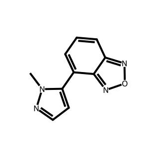 Cn1nccc1-c1cccc2nonc12